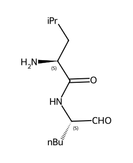 CCCC[C@@H](C=O)NC(=O)[C@@H](N)CC(C)C